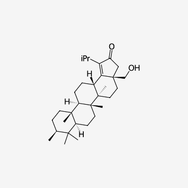 CC(C)C1=C2[C@H]3CC[C@@H]4[C@@]5(C)CC[C@H](C)C(C)(C)[C@@H]5CC[C@@]4(C)[C@]3(C)CC[C@@]2(CO)CC1=O